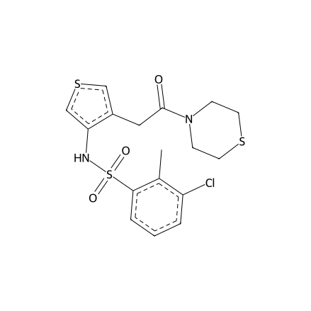 Cc1c(Cl)cccc1S(=O)(=O)Nc1cscc1CC(=O)N1CCSCC1